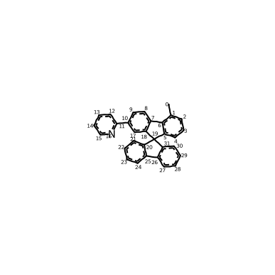 Cc1cccc2c1-c1ccc(-c3ccccn3)cc1C21c2ccccc2-c2ccccc21